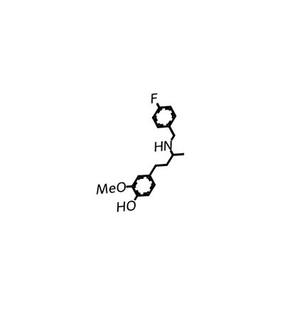 COc1cc(CCC(C)NCc2ccc(F)cc2)ccc1O